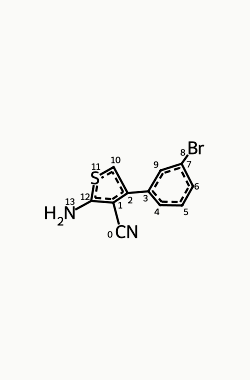 N#Cc1c(-c2cccc(Br)c2)csc1N